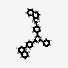 c1ccc(-c2nc(-c3ccc(-c4nc5c(ccc6ccccc65)o4)cc3)nc(-c3ccc(-c4cccc5ccccc45)cc3)n2)cc1